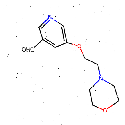 O=Cc1cncc(OCCN2CCOCC2)c1